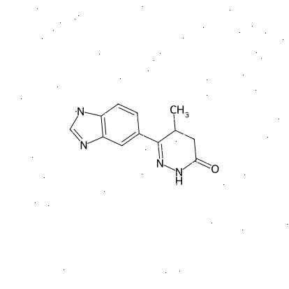 CC1CC(=O)NN=C1c1ccc2c(c1)N=C[N]2